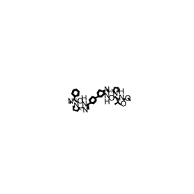 COC(=O)N[C@H](C(=O)N1CCC[C@H]1c1nc2ccc(-c3ccc(-c4cnc([C@@H]5CCCN5C(=O)[C@H](c5ccccc5)N(C)C)[nH]4)cc3)cc2[nH]1)C(C)C